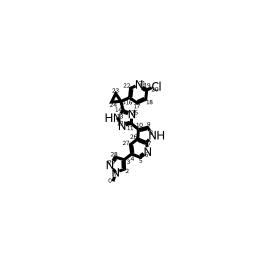 Cn1cc(-c2cnc3[nH]cc(-c4n[nH]c(C5(c6ccc(Cl)nc6)CC5)n4)c3c2)cn1